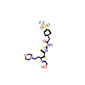 O=C(Cc1ccc(S(=O)(=O)C(F)(F)F)cc1)Nc1nc(-c2sc(CO)nc2CCN2CCOCC2)cs1